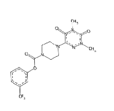 Cn1nc(N2CCN(C(=O)Oc3cccc(C(F)(F)F)c3)CC2)c(=O)n(C)c1=O